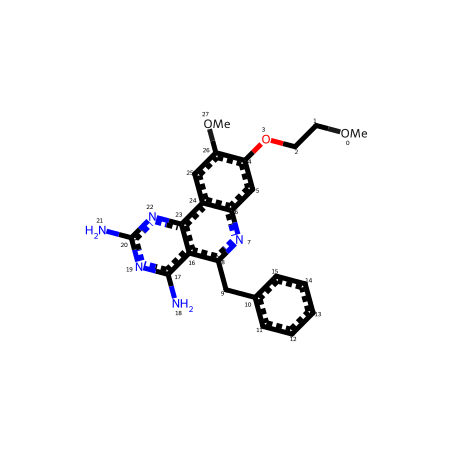 COCCOc1cc2nc(Cc3ccccc3)c3c(N)nc(N)nc3c2cc1OC